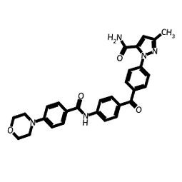 Cc1cc(C(N)=O)n(-c2ccc(C(=O)c3ccc(NC(=O)c4ccc(N5CCOCC5)cc4)cc3)cc2)n1